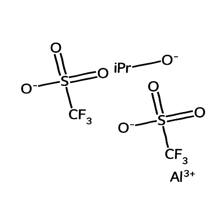 CC(C)[O-].O=S(=O)([O-])C(F)(F)F.O=S(=O)([O-])C(F)(F)F.[Al+3]